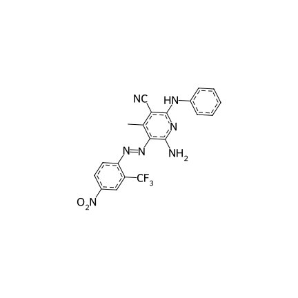 Cc1c(C#N)c(Nc2ccccc2)nc(N)c1N=Nc1ccc([N+](=O)[O-])cc1C(F)(F)F